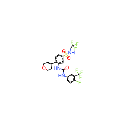 O=C(Nc1ccc(F)c(C(F)(F)F)c1)Nc1cc(S(=O)(=O)NCC(F)(F)F)ccc1C1=CCOCC1